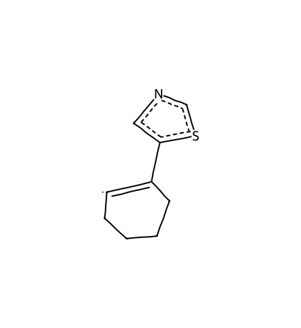 [C]1=C(c2cncs2)CCCC1